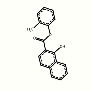 Cc1ccccc1OC(=O)c1ccc2ccccc2c1O